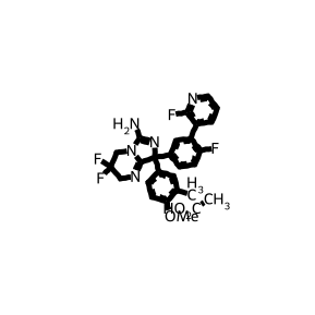 CC(=O)O.COc1ccc(C2(c3ccc(F)c(-c4cccnc4F)c3)N=C(N)N3CC(F)(F)CN=C32)cc1C